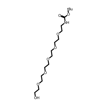 CC(C)(C)OC(=O)NCCOCCOCCOCCOCCOCCO